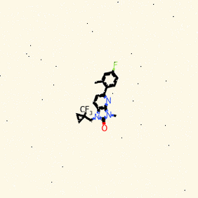 Cc1cc(F)ccc1-c1ccc2c(n1)n(C)c(=O)n2CC1(C(F)(F)F)CC1